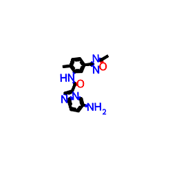 Cc1nc(-c2ccc(C)c(NC(=O)c3cnc4ccc(N)cn34)c2)no1